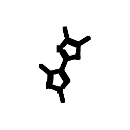 Cc1nn(C)cc1-c1nc(C)c(C)s1